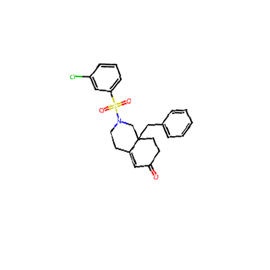 O=C1C=C2CCN(S(=O)(=O)c3cccc(Cl)c3)CC2(Cc2ccccc2)CC1